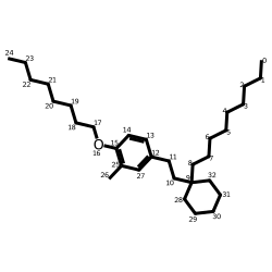 CCCCCCCCCC1(CCc2ccc(OCCCCCCCC)c(C)c2)CCCCC1